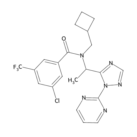 CC(c1ncnn1-c1ncccn1)N(CC1CCC1)C(=O)c1cc(Cl)cc(C(F)(F)F)c1